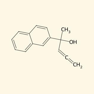 C=C=CC(C)(O)c1ccc2ccccc2c1